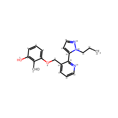 O=Cc1c(O)cccc1OCc1cccnc1-c1ccnn1CCC(F)(F)F